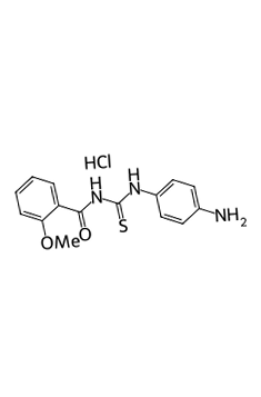 COc1ccccc1C(=O)NC(=S)Nc1ccc(N)cc1.Cl